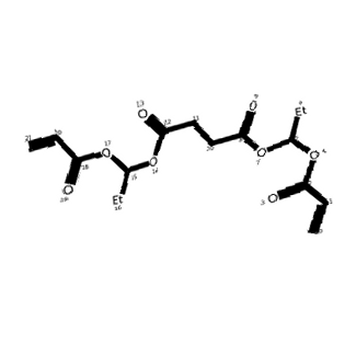 C=CC(=O)OC(CC)OC(=O)CCC(=O)OC(CC)OC(=O)C=C